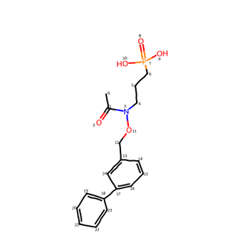 CC(=O)N(CCCP(=O)(O)O)OCc1cccc(-c2ccccc2)c1